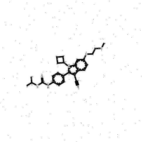 CSCCOc1ccc2c(C#N)c(-c3ccc(NC(=O)OC(C)C)cc3)n(C3CCC3)c2c1